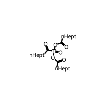 CCCCCCCC(=O)[O][Ti](=[O])([O]C(=O)CCCCCCC)[C](=O)CCCCCCC